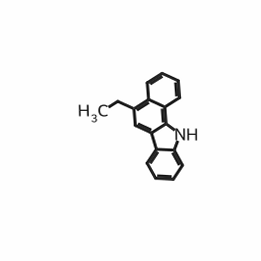 CCc1cc2c3ccccc3[nH]c2c2ccccc12